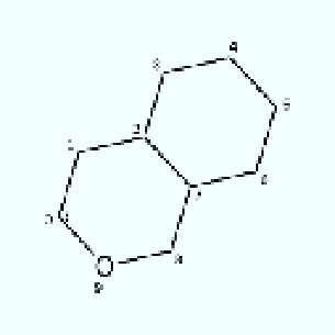 [C]1CC2CCCCC2CO1